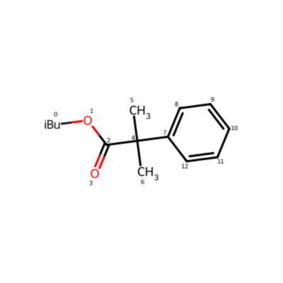 CCC(C)OC(=O)C(C)(C)c1ccccc1